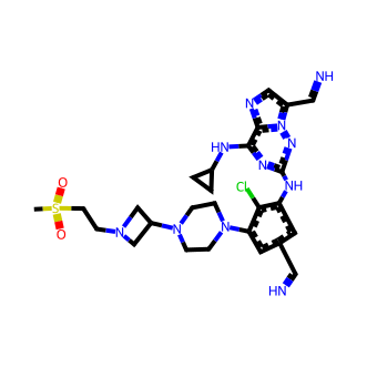 CS(=O)(=O)CCN1CC(N2CCN(c3cc(C=N)cc(Nc4nc(NC5CC5)c5ncc(C=N)n5n4)c3Cl)CC2)C1